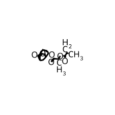 C=C(C)C(=O)OC(C)C(=O)OC1C2CC3CC(C2)C(=O)OC1C3